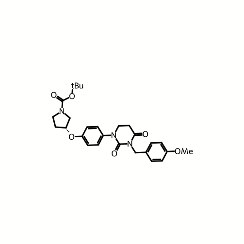 COc1ccc(CN2C(=O)CCN(c3ccc(O[C@@H]4CCN(C(=O)OC(C)(C)C)C4)cc3)C2=O)cc1